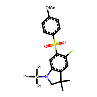 COc1ccc(S(=O)(=O)c2cc3c(cc2F)C(C)(C)CN3[Si](C(C)C)(C(C)C)C(C)C)cc1